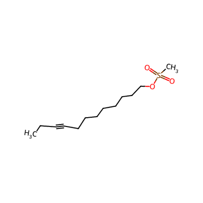 CCC#CCCCCCCCCOS(C)(=O)=O